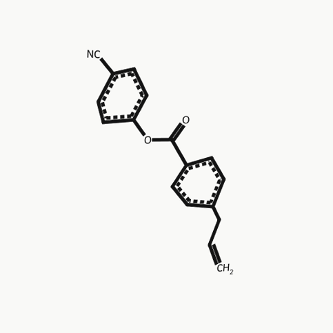 C=CCc1ccc(C(=O)Oc2ccc(C#N)cc2)cc1